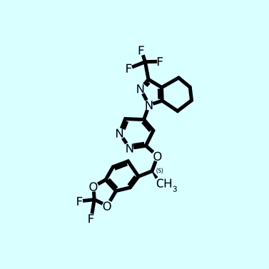 C[C@H](Oc1cc(-n2nc(C(F)(F)F)c3c2CCCC3)cnn1)c1ccc2c(c1)OC(F)(F)O2